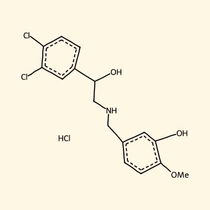 COc1ccc(CNCC(O)c2ccc(Cl)c(Cl)c2)cc1O.Cl